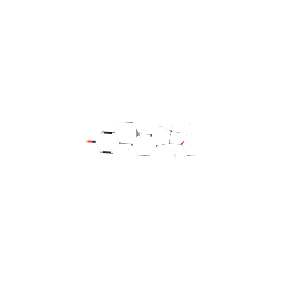 CC1(C)C[C@H]2[C@@H]3CCC4=CC(=O)C=C[C@]4(C)[C@H]3[C@@H](O)C[C@]2(C)[C@@]1(O)C(=O)CO